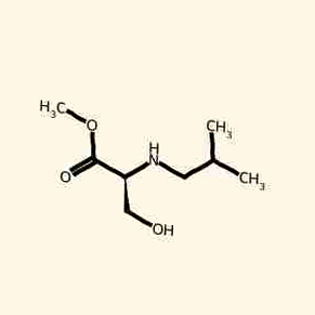 COC(=O)[C@H](CO)NCC(C)C